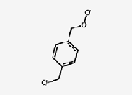 ClCc1ccc(COCl)cc1